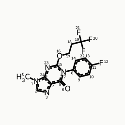 Cn1cnc2c(=O)n(-c3ccc(F)cc3)c(OCCC(F)(F)F)nc21